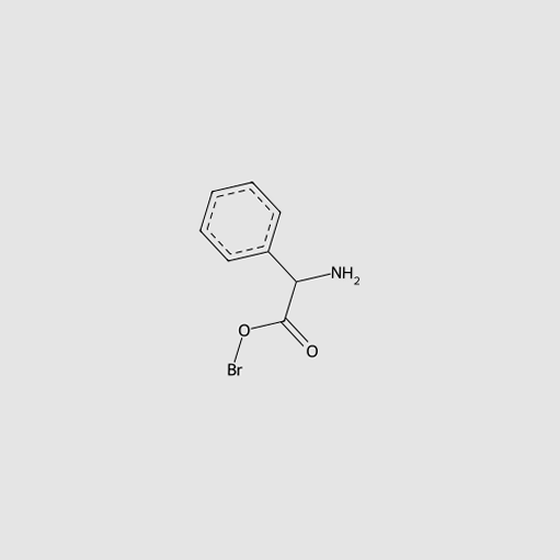 NC(C(=O)OBr)c1ccccc1